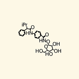 CC(C)C(C(=O)Nc1ccc(C(=O)NO[C@@H]2O[C@H](CO)[C@H](O)[C@H](O)[C@H]2O)cc1)c1ccccc1